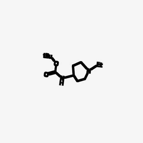 CCN1CCC(NC(=O)OC(C)(C)C)CC1